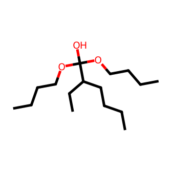 CCCCOC(O)(OCCCC)C(CC)CCCC